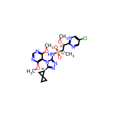 COc1ncnc(OC)c1-n1c(NS(=O)(=O)[C@@H](C)[C@H](OC)c2ncc(Cl)cn2)nnc1[C@@H]1CC12CC2